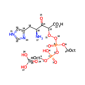 CCCCCCCCOP(=O)(O)OP(=O)(OCCCCCCCC)OOC(C(=O)O)C(=O)[C@@H](N)Cc1c[nH]cn1.[O]=[Ti]([OH])[OH]